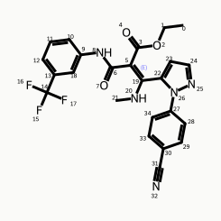 CCOC(=O)/C(C(=O)Nc1cccc(C(F)(F)F)c1)=C(/NC)c1ccnn1-c1ccc(C#N)cc1